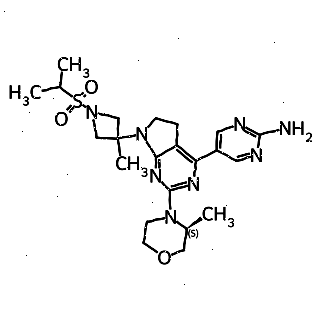 CC(C)S(=O)(=O)N1CC(C)(N2CCc3c(-c4cnc(N)nc4)nc(N4CCOC[C@@H]4C)nc32)C1